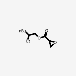 CCCCC(CC)COC(=O)C1CO1